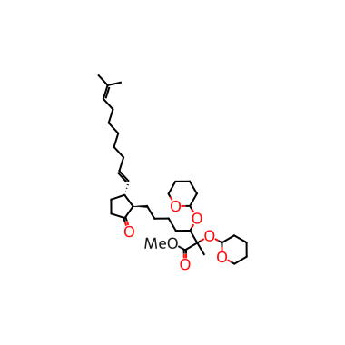 COC(=O)C(C)(OC1CCCCO1)C(CCCC[C@H]1C(=O)CC[C@@H]1/C=C/CCCCCC=C(C)C)OC1CCCCO1